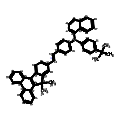 CC(C)(C)c1ccc(N(c2ccc(/C=C/c3ccc4c(c3)C(C)(C)c3c-4c4ccccc4c4ccccc34)cc2)c2cccc3ccccc23)cc1